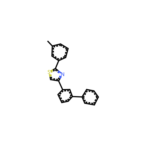 Cc1cccc(-c2nc(-c3cccc(-c4ccccc4)c3)cs2)c1